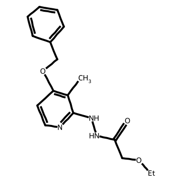 CCOCC(=O)NNc1nccc(OCc2ccccc2)c1C